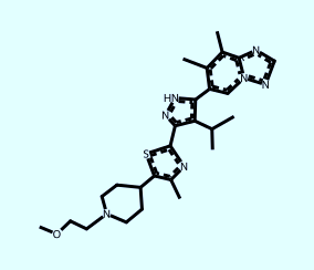 COCCN1CCC(c2sc(-c3n[nH]c(-c4cn5ncnc5c(C)c4C)c3C(C)C)nc2C)CC1